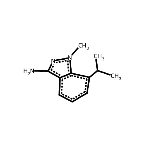 CC(C)c1cccc2c(N)nn(C)c12